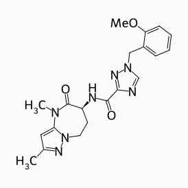 COc1ccccc1Cn1cnc(C(=O)N[C@H]2CCn3nc(C)cc3N(C)C2=O)n1